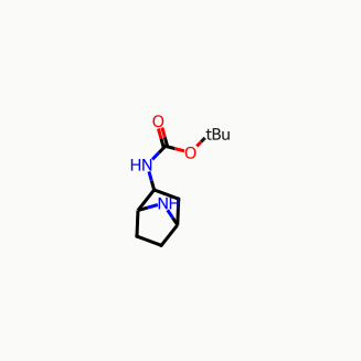 CC(C)(C)OC(=O)NC1CC2CCC1N2